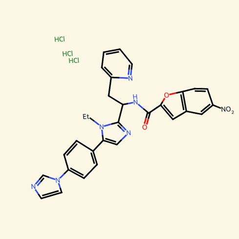 CCn1c(-c2ccc(-n3ccnc3)cc2)cnc1C(Cc1ccccn1)NC(=O)c1cc2cc([N+](=O)[O-])ccc2o1.Cl.Cl.Cl